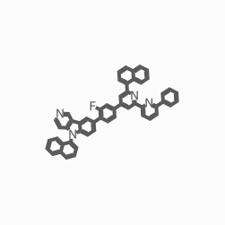 Fc1cc(-c2cc(-c3cccc(-c4ccccc4)n3)nc(-c3cccc4ccccc34)c2)ccc1-c1ccc2c(c1)c1cnccc1n2-c1cccc2ccccc12